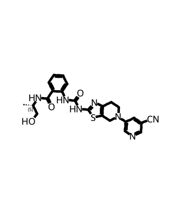 C[C@@H](CO)NC(=O)c1ccccc1NC(=O)Nc1nc2c(s1)CN(c1cncc(C#N)c1)CC2